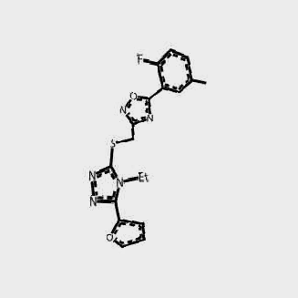 CCn1c(SCc2noc(-c3cc(C)ccc3F)n2)nnc1-c1ccco1